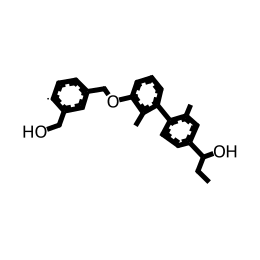 CCC(O)c1ccc(-c2cccc(OCc3cc[c]c(CO)c3)c2C)c(C)c1